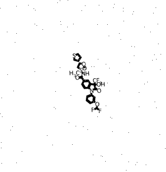 C1CCSC1.CS1(NC(=O)c2ccc3c(c2)C(O)(C(F)(F)F)C(=O)N3c2cccc(OC(F)F)c2)CCOO1